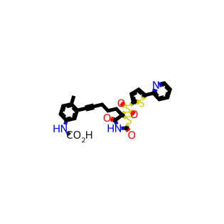 Cc1ccc(NC(=O)O)cc1C#CCCCC1(S(=O)(=O)c2ccc(-c3ccccn3)s2)SC(=O)NC1=O